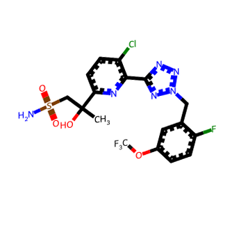 CC(O)(CS(N)(=O)=O)c1ccc(Cl)c(-c2nnn(Cc3cc(OC(F)(F)F)ccc3F)n2)n1